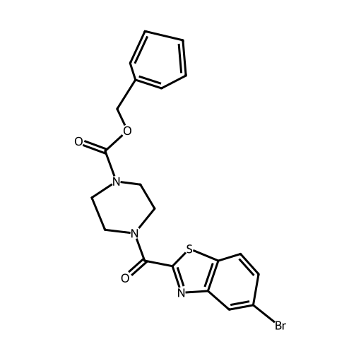 O=C(OCc1ccccc1)N1CCN(C(=O)c2nc3cc(Br)ccc3s2)CC1